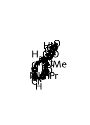 CC[C@@H]1CN(C2CC(OC3CCN(c4ncc(Cl)c(Nc5ccc6c(c5)cc(OCC(=O)NC)c(=O)n6C(C)C)n4)CC3)C2)CCN1c1ccc2c(c1C)C(=O)N([C@@H]1CCC(=O)NC1=O)C2=O